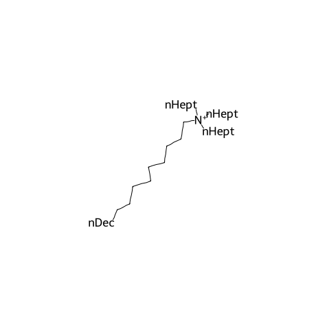 CCCCCCCCCCCCCCCCCCC[N+](CCCCCCC)(CCCCCCC)CCCCCCC